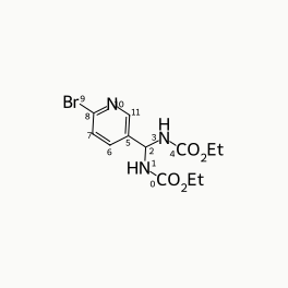 CCOC(=O)NC(NC(=O)OCC)c1ccc(Br)nc1